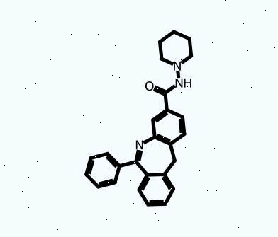 O=C(NN1CCCCC1)c1ccc2c(c1)N=C(c1ccccc1)c1ccccc1C2